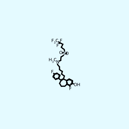 CN(CCCCCCC1=C(c2ccc(F)cc2)CCCc2c1ccc(O)c2F)CCCS(=O)(=O)CCCC(F)(F)C(F)(F)F